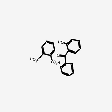 O=C(O)c1ccccc1C(=O)O.O=C(c1ccccc1)c1ccccc1O